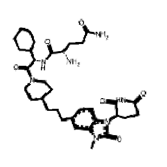 Cn1c(=O)n(C2CCC(=O)NC2=O)c2ccc(CCCC3CCN(C(=O)[C@@H](NC(=O)[C@@H](N)CCC(N)=O)C4CCCCC4)CC3)cc21